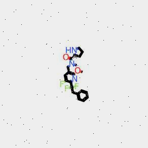 COc1nc(C(F)(F)Cc2ccccc2)c(F)cc1CN(C)C(=O)[C@@H]1CCCN1